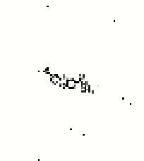 CN(C)C(=O)c1ccc(Oc2ccc(C3CC3)cc2)c(F)c1